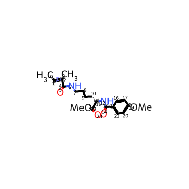 C/C=C(\C)C(=O)NCCCC[C@H](NC(=O)c1ccc(OC)cc1)C(=O)OC